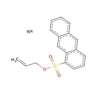 C=CCOS(=O)(=O)c1cccc2cc3ccccc3cc12.[KH]